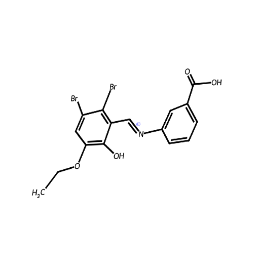 CCOc1cc(Br)c(Br)c(/C=N/c2cccc(C(=O)O)c2)c1O